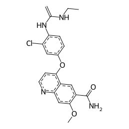 C=C(NCC)Nc1ccc(Oc2ccnc3cc(OC)c(C(N)=O)cc23)cc1Cl